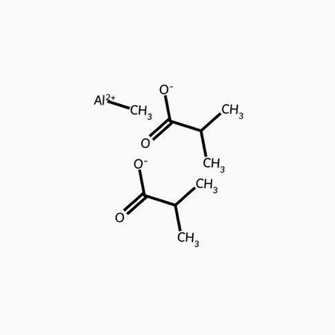 CC(C)C(=O)[O-].CC(C)C(=O)[O-].[CH3][Al+2]